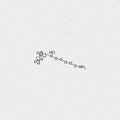 Cl.Cn1c(=O)n(C2CCC(=O)NC2=O)c2ccc(CCOCCOCCOCCOCCOCCOCCN)cc21